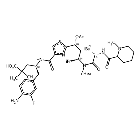 CCCCCCN(C(=O)[C@@H](NC(=O)C1CCCCN1C)[C@@H](C)CC)[C@H](C[C@@H](OC(C)=O)c1nc(C(=O)N[C@@H](Cc2ccc(N)c(F)c2)CC(C)(C)C(=O)O)cs1)C(C)C